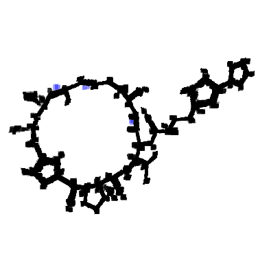 CC1=C\[C@@H](O)C[C@@H](F)Cc2nc(co2)C(=O)N2CCC[C@@H]2C(=O)O[C@H](C(C)C)[C@H](CC(=O)NCCn2cc(-c3ccsc3)nn2)/C=C/C(=O)NC\C=C\1